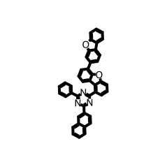 c1ccc(-c2nc(-c3ccc4ccccc4c3)nc(-c3cccc4oc5c(-c6ccc7c(c6)oc6ccccc67)cccc5c34)n2)cc1